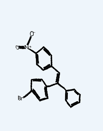 O=[N+]([O-])c1ccc(C=C(c2ccccc2)c2ccc(Br)cc2)cc1